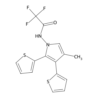 Cc1cn(NC(=O)C(F)(F)F)c(-c2cccs2)c1-c1cccs1